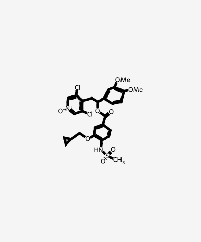 COc1ccc(C(Cc2c(Cl)c[n+]([O-])cc2Cl)OC(=O)c2ccc(NS(C)(=O)=O)c(OCC3CC3)c2)cc1OC